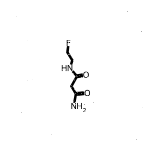 NC(=O)CC(=O)NCCF